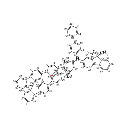 CC(C)(C)CC(c1ccc(-c2ccc3c(c2)C2(c4ccccc4-c4ccc(-c5ccc(-c6ccc(N(c7ccc(-c8ccccc8)cc7)c7ccc8c(c7)C(C)(C)c7ccccc7-8)cc6)cc5)cc42)c2ccccc2-3)cc1)C(C)(C)C